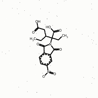 CCC(CC(=O)O)C(CC)(C(=O)O)N1C(=O)c2ccc([N+](=O)[O-])cc2C1=O